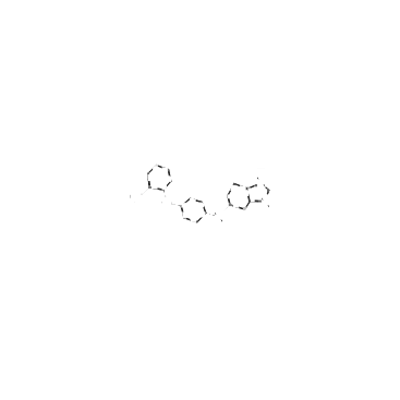 Clc1ccccc1Oc1ccc(Nc2ccc3[nH]cnc3c2)cc1